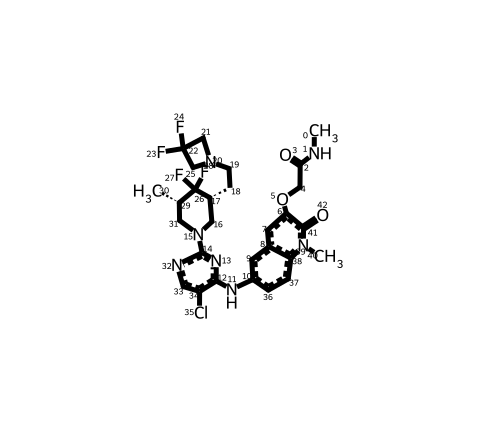 CNC(=O)COc1cc2cc(Nc3nc(N4C[C@@H](CCN5CC(F)(F)C5)C(F)(F)[C@@H](C)C4)ncc3Cl)ccc2n(C)c1=O